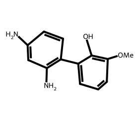 COc1cccc(-c2ccc(N)cc2N)c1O